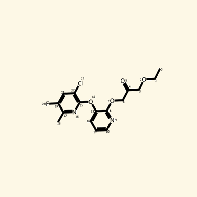 CCOCC(=O)COc1ncccc1Oc1nc(C)c(F)cc1Cl